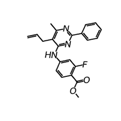 C=CCc1c(C)nc(-c2ccccc2)nc1Nc1ccc(C(=O)OC)c(F)c1